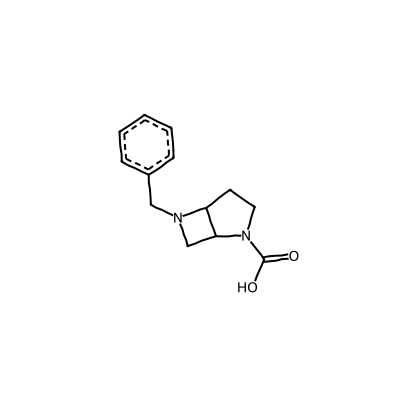 O=C(O)N1CCC2C1CN2Cc1ccccc1